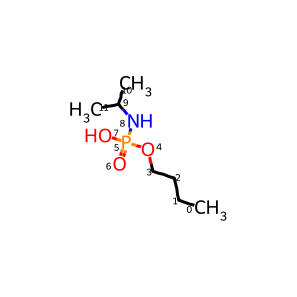 CCCCOP(=O)(O)NC(C)C